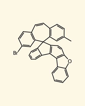 Cc1ccc2c(c1)C1(c3cc(Br)ccc3C=C2)c2ccccc2-c2c1ccc1oc3ccccc3c21